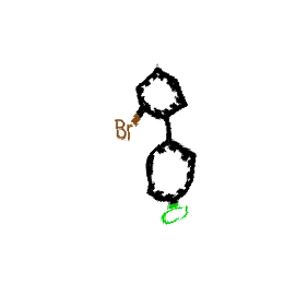 Clc1ccc(-c2cc[c]cc2Br)cc1